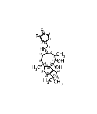 CC1C[C@H](NCc2ccc(F)c(F)c2)CC[C@H](C)C2CCC3=C(CCC3(C)C)C2[C@@H](O)[C@@H]1O